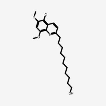 COc1cc(OC)c2nc(CCCCCCCCCCCO)ccc2c1Cl